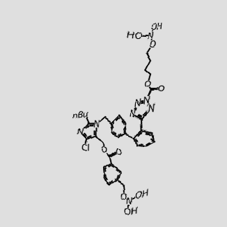 CCCCc1nc(Cl)c(COC(=O)c2cccc(CON(O)O)c2)n1Cc1ccc(-c2ccccc2-c2nnn(C(=O)OCCCCON(O)O)n2)cc1